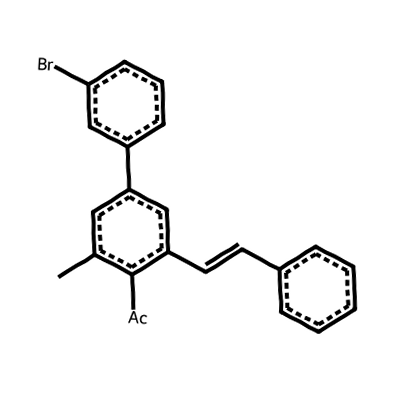 CC(=O)c1c(C)cc(-c2cccc(Br)c2)cc1/C=C/c1ccccc1